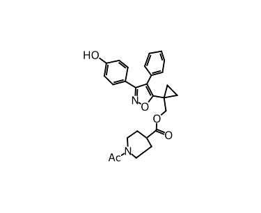 CC(=O)N1CCC(C(=O)OCC2(c3onc(-c4ccc(O)cc4)c3-c3ccccc3)CC2)CC1